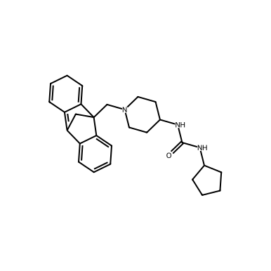 O=C(NC1CCCC1)NC1CCN(CC23CC(=C4C=CCC=C42)c2ccccc23)CC1